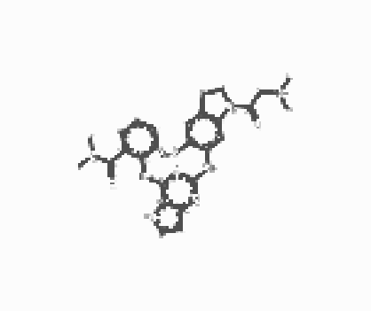 COc1cc2c(cc1Nc1nc(Nc3ccccc3C(=O)N(C)C)c3sccc3n1)N(C(=O)CN(C)C)CC2